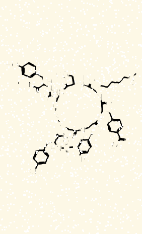 CNCCCCC[C@@H]1NC(=O)[C@@H](Cc2ccc(C(N)=O)cc2)NC(=O)[C@H](Cc2ccc(O)cc2)NC(=O)[C@H](NC(=O)[C@H](Cc2ccc(Cl)cc2)NS(C)(=O)=O)CSSC[C@@H](C(=O)N[C@H](Cc2ccc(O)cc2)C(N)=O)NC(=O)[C@H]([C@@H](C)O)NC1=O